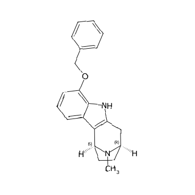 CN1[C@@H]2CC[C@H]1c1c([nH]c3c(OCc4ccccc4)cccc13)C2